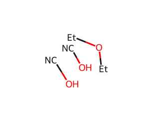 CCOCC.N#CO.N#CO